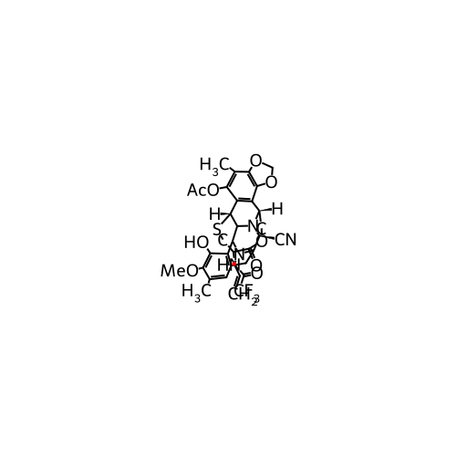 C=CCN1C2c3c(cc(C)c(OC)c3O)CC1[C@H](C#N)N1C2[C@@H]2SCC(NC(=O)C(F)(F)F)C(=O)OC[C@H]1c1c3c(c(C)c(OC(C)=O)c12)OCO3